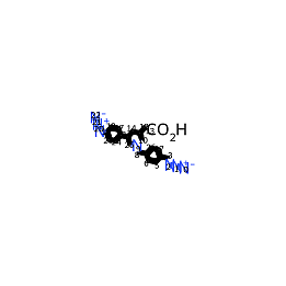 [N-]=[N+]=NCc1ccc(CN2CC(CC(=O)O)CC(c3ccc(N=[N+]=[N-])cc3)C2)cc1